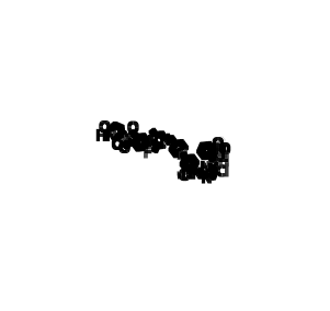 COc1cc(N2CCC(CN3CC(C)N(c4cc5c(cc4F)C(=O)N(C4CCC(=O)NC4=O)C5=O)C(C)C3)CC2)ccc1Nc1ncc(Cl)c(Nc2ccccc2P(=O)(OC)OC)n1